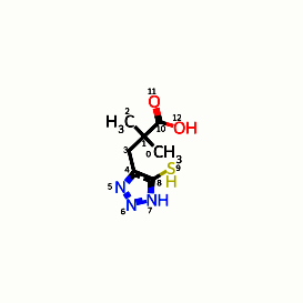 CC(C)(Cc1nn[nH]c1S)C(=O)O